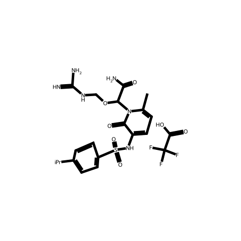 Cc1ccc(NS(=O)(=O)c2ccc(C(C)C)cc2)c(=O)n1C(OCNC(=N)N)C(N)=O.O=C(O)C(F)(F)F